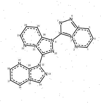 c1cn[n+]2c(c1)=N[N]C=2n1nc(-n2nc[n+]3cccnc23)[n+]2ncccc12